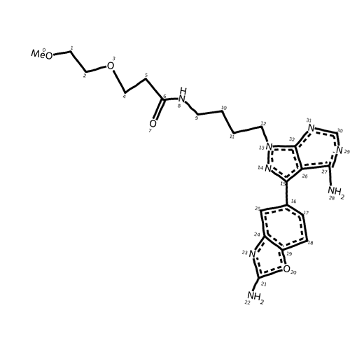 COCCOCCC(=O)NCCCCn1nc(-c2ccc3oc(N)nc3c2)c2c(N)ncnc21